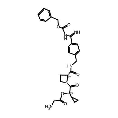 N=C(NC(=O)OCc1ccccc1)c1ccc(CNC(=O)[C@@H]2CCN2C(=O)[C@H](OC(=O)CN)C2CC2)cc1